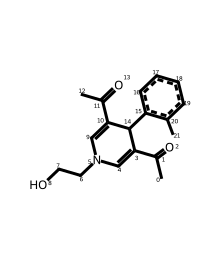 CC(=O)C1=CN(CCO)C=C(C(C)=O)C1c1ccccc1C